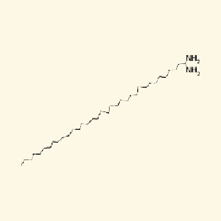 CCCCCCCCCCCCCCCCCCCCCCCCCCCCCCCCCCC(N)N